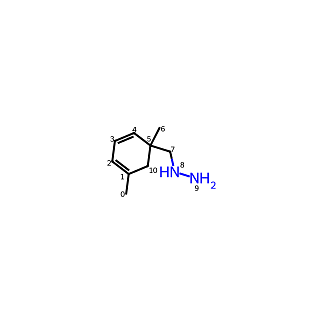 CC1=CC=CC(C)(CNN)C1